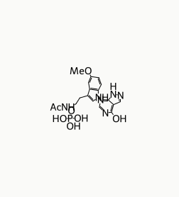 COc1ccc2[nH]cc(CCNC(C)=O)c2c1.O=P(O)(O)O.Oc1ncnc2[nH]ncc12